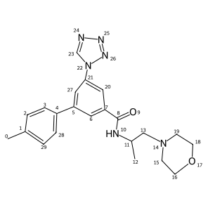 Cc1ccc(-c2cc(C(=O)NC(C)CN3CCOCC3)cc(-n3cnnn3)c2)cc1